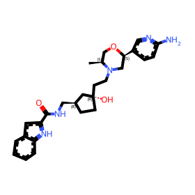 C[C@H]1CO[C@@H](c2ccc(N)nc2)CN1CC[C@@]1(O)CC[C@@H](CNC(=O)c2cc3ccccc3[nH]2)C1